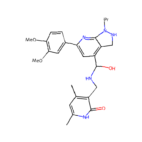 COc1ccc(-c2cc(C(O)NCc3c(C)cc(C)[nH]c3=O)c3c(n2)N(C(C)C)NC3)cc1OC